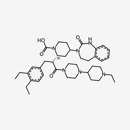 CCc1ccc(CC(C(=O)N2CCN(C3CCN(CC)CC3)CC2)[C@H]2CC(N3CCc4ccccc4NC3=O)CCN2C(=O)O)cc1CC